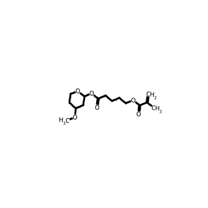 C=C(C)C(=O)OCCCCC(=O)OC1CC(OC)CCO1